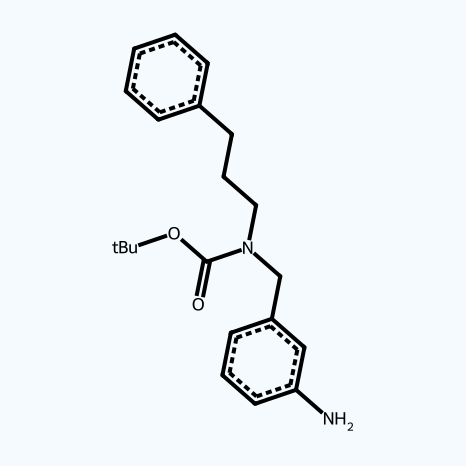 CC(C)(C)OC(=O)N(CCCc1ccccc1)Cc1cccc(N)c1